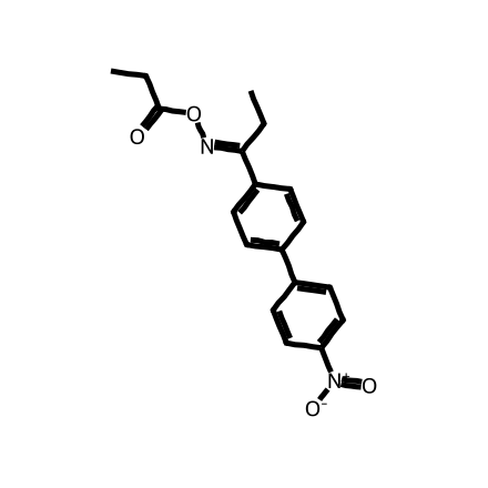 CCC(=O)ON=C(CC)c1ccc(-c2ccc([N+](=O)[O-])cc2)cc1